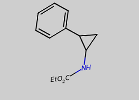 CCOC(=O)NC1CC1c1ccccc1